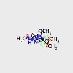 C=CC(=O)Nc1cccc(C)c1Nc1ncc2cc(-c3c(Cl)c(OC)cc(OC)c3Cl)nc(NCC3CCCN3C)c2n1